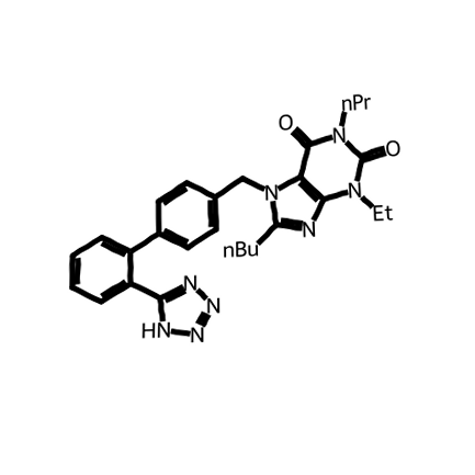 CCCCc1nc2c(c(=O)n(CCC)c(=O)n2CC)n1Cc1ccc(-c2ccccc2-c2nnn[nH]2)cc1